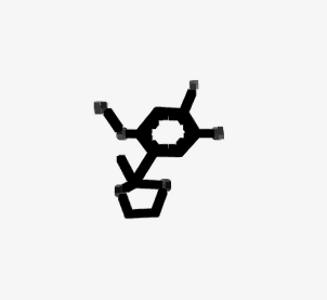 CCOc1cc(F)c(Cl)cc1C1(C)OCCO1